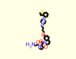 NCC(=O)N1CCCC1C(=O)n1c(=O)ccc2ccc(OCCCCN3CCN(c4cccc5sccc45)CC3)cc21